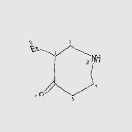 CCC1CNCCC1=O